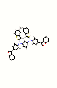 Cc1cc2c3c(c1)N(c1c(C)cc(-c4coc5ccccc45)cc1C)c1sc4ccc(C(C)(C)C)cc4c1B3c1c(sc3ccc(C(C)(C)C)cc13)N2c1c(C)cc(-c2coc3ccccc23)cc1C